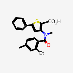 CCc1cc(C)ccc1C(=O)N(C)c1cc(-c2ccccc2)sc1C(=O)O